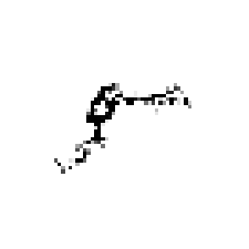 CCNC(=O)c1ccc2cnn(COCC[Si](C)(C)C)c2c1